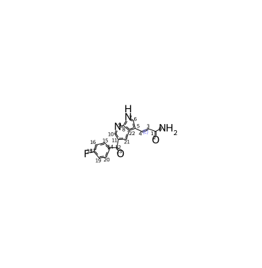 NC(=O)/C=C/c1c[nH]c2ncc(C(=O)c3ccc(F)cc3)cc12